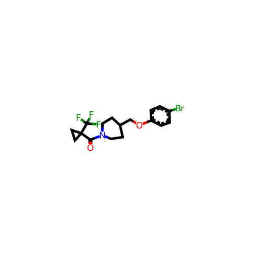 O=C(N1CCC(COc2ccc(Br)cc2)CC1)C1(C(F)(F)F)CC1